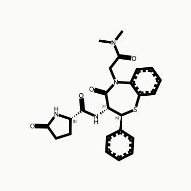 CN(C)C(=O)CN1C(=O)[C@@H](NC(=O)[C@@H]2CCC(=O)N2)[C@H](c2ccccc2)Sc2ccccc21